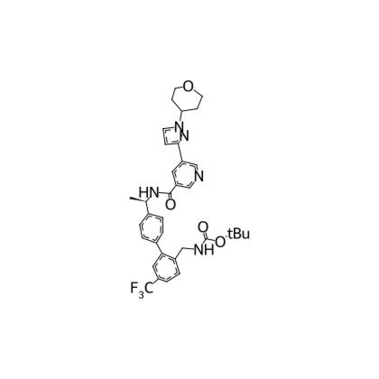 C[C@@H](NC(=O)c1cncc(-c2ccn(C3CCOCC3)n2)c1)c1ccc(-c2cc(C(F)(F)F)ccc2CNC(=O)OC(C)(C)C)cc1